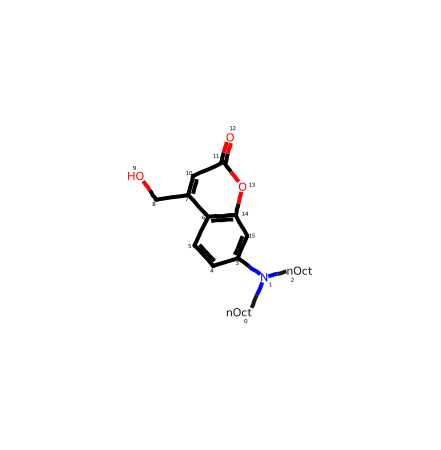 CCCCCCCCN(CCCCCCCC)c1ccc2c(CO)cc(=O)oc2c1